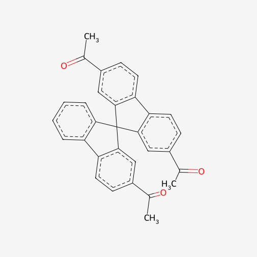 CC(=O)c1ccc2c(c1)C1(c3ccccc3-2)c2cc(C(C)=O)ccc2-c2ccc(C(C)=O)cc21